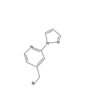 BrCc1ccnc(-n2cccn2)c1